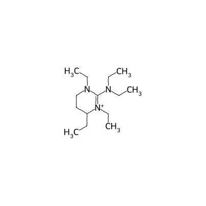 CCC1CCN(CC)C(N(CC)CC)=[N+]1CC